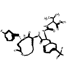 COC(=O)C(NC(=O)NC(Cc1cccc(C(F)(F)F)c1)C(=O)N[C@H]1CCCCNC(=O)/C=C/[C@H](Cc2cccc(F)c2)NC1=O)C(C)C